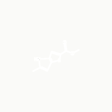 COC(=O)c1cc2[nH]c(C)cc2s1